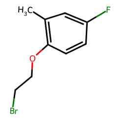 Cc1cc(F)ccc1OCCBr